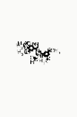 COc1cc(OC)cc(C2CN(c3cnnc4c(OC)c(OC)c(OC)cc34)CCN2)c1.O=CO